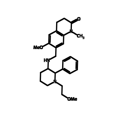 COCCN1CCCC(NCc2cc3c(cc2OC)CCC(=O)N3C)C1c1ccccc1